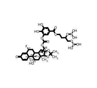 CC1(C)O[C@@H]2CC3C4C[C@H](F)C5=CC(=O)C=C[C@]5(C)[C@@]4(F)[C@@H](O)C[C@]3(C)[C@]2(C(=O)COC(=O)Oc2cc(C(=O)OCCC(CON(O)O)ON(O)O)cc(O)c2O)O1